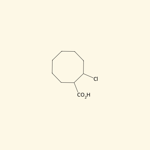 O=C(O)C1CCCCCCC1Cl